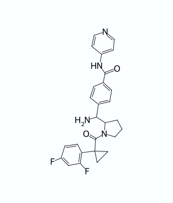 NC(c1ccc(C(=O)Nc2ccncc2)cc1)C1CCCN1C(=O)C1(c2ccc(F)cc2F)CC1